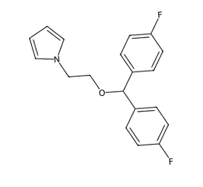 Fc1ccc(C(OCCn2cccc2)c2ccc(F)cc2)cc1